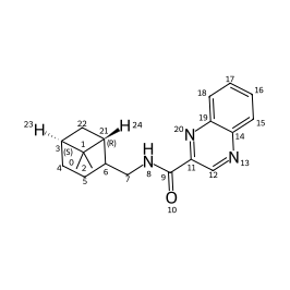 CC1(C)[C@H]2CCC(CNC(=O)c3cnc4ccccc4n3)[C@H]1C2